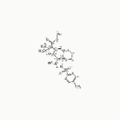 Cc1ccc(S(=O)(=O)OC[C@H](C(C)C)[C@H](O)[C@@H]2OC(C)(C)N(C(=O)OC(C)(C)C)[C@H]2CC2CCCCC2)cc1